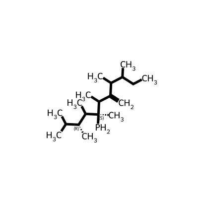 C=C(C(C)C(C)CC)C(C)[C@@](C)(P)C(C)[C@H](C)C(C)C